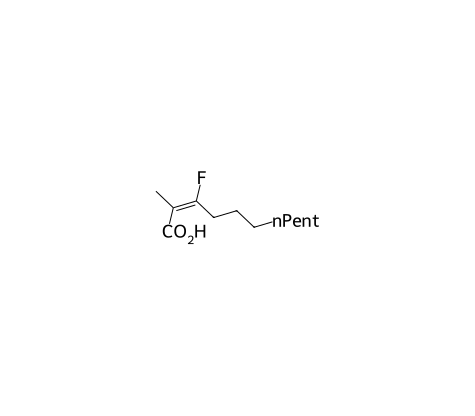 CCCCCCCC/C(F)=C(/C)C(=O)O